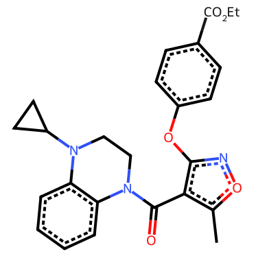 CCOC(=O)c1ccc(Oc2noc(C)c2C(=O)N2CCN(C3CC3)c3ccccc32)cc1